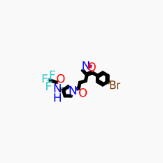 O=C(CCc1cnoc1-c1ccc(Br)cc1)N1CC[C@H](NC(=O)C(F)(F)F)C1